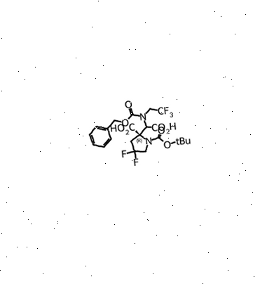 CC(C)(C)OC(=O)N1CC(F)(F)C[C@]1(C(=O)O)C(C(=O)O)N(CC(F)(F)F)C(=O)OCc1ccccc1